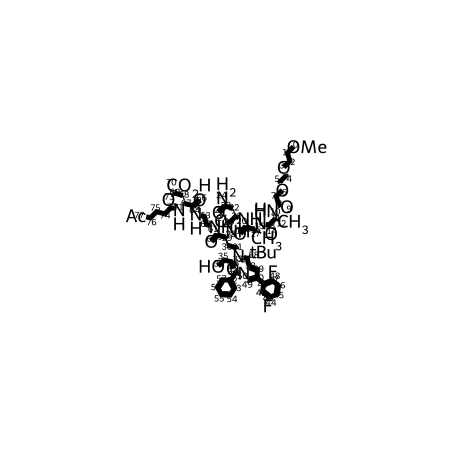 COCCOCCOCC(=O)N[C@@H](C)C(=O)N[C@H](C)C(=O)N[C@@H](CC(N)=O)C(=O)N[C@@H](CCN(C(=O)CO)[C@@H](c1cc(-c2cc(F)ccc2F)cn1Cc1ccccc1)C(C)(C)C)C(=O)NCCNC(=O)[C@@H](CCC(=O)O)NC(=O)CCCC(C)=O